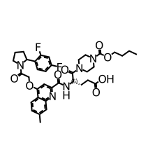 CCCCOC(=O)N1CCN(C(=O)[C@H](CCC(=O)O)NC(=O)c2cc(OCC(=O)N3CCCC3c3ccc(F)cc3F)c3ccc(C)cc3n2)CC1